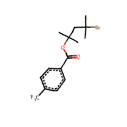 CC(C)(Br)CC(C)(C)OC(=O)c1ccc(C(F)(F)F)cc1